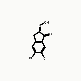 O=C1C(=NO)Cc2cc(Br)c(Cl)cc21